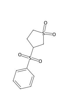 O=S1(=O)CCC(S(=O)(=O)c2ccccc2)C1